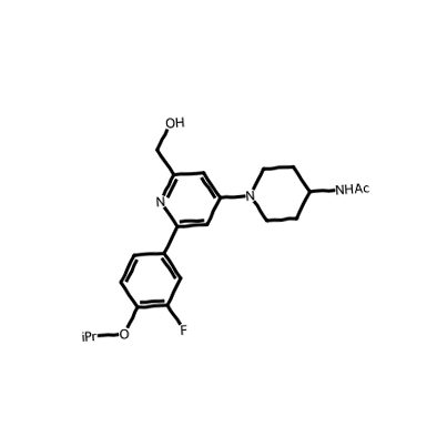 CC(=O)NC1CCN(c2cc(CO)nc(-c3ccc(OC(C)C)c(F)c3)c2)CC1